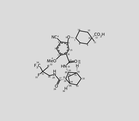 COc1cc(C#N)c(O[C@H]2CC[C@@](C)(C(=O)O)CC2)cc1C(=O)N[C@@H]1[C@H]2CC[C@H](C2)[C@@H]1C(=O)NCC(F)(F)C(F)(F)F